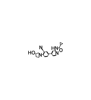 N#Cc1cc(-c2ccnc(NC(=O)C3CC3)c2)ccc1N1CCC(O)C1